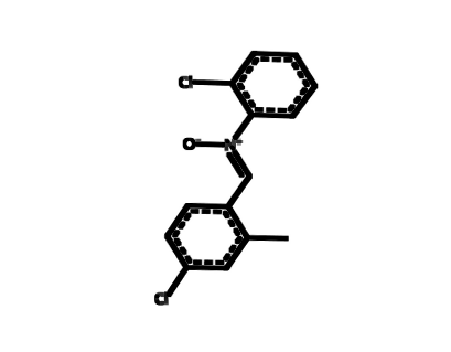 Cc1cc(Cl)ccc1C=[N+]([O-])c1ccccc1Cl